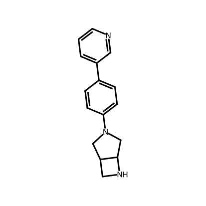 c1cncc(-c2ccc(N3CC4CNC4C3)cc2)c1